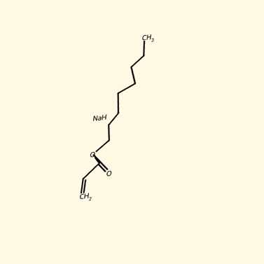 C=CC(=O)OCCCCCCCC.[NaH]